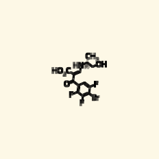 C[C@H](CO)NC=C(C(=O)O)C(=O)c1cc(F)c(Br)c(F)c1F